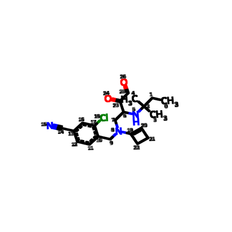 CCC(C)(C)NC(CN(Cc1ccc(C#N)cc1Cl)C1=CCC1)C(=O)C=O